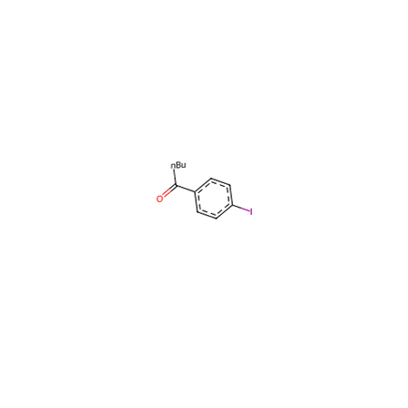 CCCCC(=O)c1ccc(I)cc1